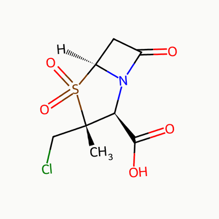 C[C@]1(CCl)[C@H](C(=O)O)N2C(=O)C[C@@H]2S1(=O)=O